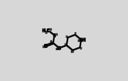 CSC(=O)OC1CCNCC1